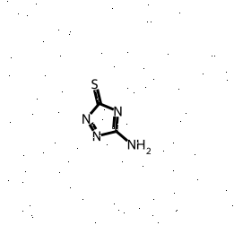 NC1=NC(=S)N=N1